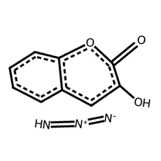 O=c1oc2ccccc2cc1O.[N-]=[N+]=N